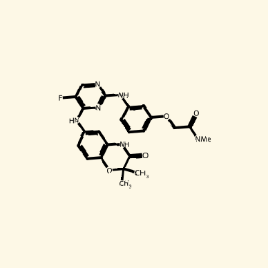 CNC(=O)COc1cccc(Nc2ncc(F)c(Nc3ccc4c(c3)NC(=O)C(C)(C)O4)n2)c1